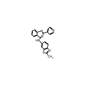 Cc1nc2ccc(Nc3nc(-c4ccncc4)nc4ccccc34)cc2s1